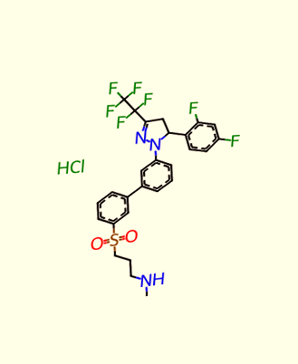 CNCCCS(=O)(=O)c1cccc(-c2cccc(N3N=C(C(F)(F)C(F)(F)F)CC3c3ccc(F)cc3F)c2)c1.Cl